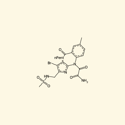 CCCCCC(=O)c1cc(C)ccc1N(C(=O)C(N)=O)c1nc(CNS(C)(=O)=O)c(Br)s1